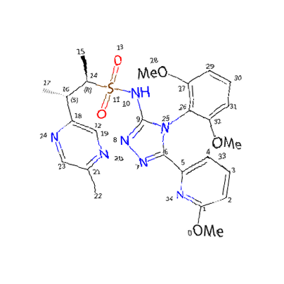 COc1cccc(-c2nnc(NS(=O)(=O)[C@H](C)[C@@H](C)c3cnc(C)cn3)n2-c2c(OC)cccc2OC)n1